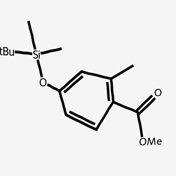 COC(=O)c1ccc(O[Si](C)(C)C(C)(C)C)cc1C